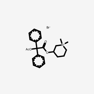 CC(=O)OC(C(=O)OC1CCC[N+](C)(C)C1)(c1ccccc1)c1ccccc1.[Br-]